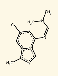 Cc1ncn2c(/N=C\N(C)C)cc(Cl)cc12